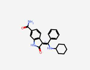 NC(=O)c1ccc2c(c1)NC(=O)/C2=C(\NC1CCCCC1)c1ccccc1